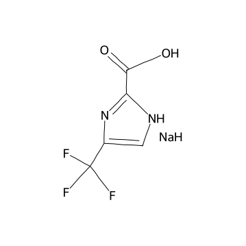 O=C(O)c1nc(C(F)(F)F)c[nH]1.[NaH]